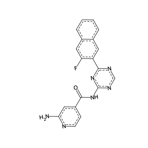 Nc1cc(C(=O)Nc2ncnc(-c3cc4ccccc4cc3F)n2)ccn1